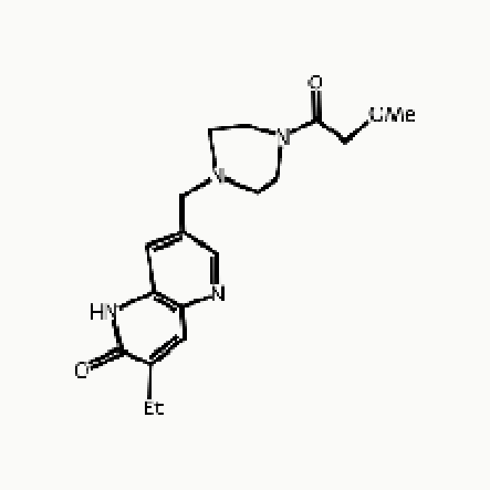 CCc1cc2ncc(CN3CCN(C(=O)COC)CC3)cc2[nH]c1=O